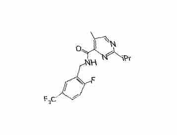 Cc1cnc(C(C)C)nc1C(=O)NCc1cc(C(F)(F)F)ccc1F